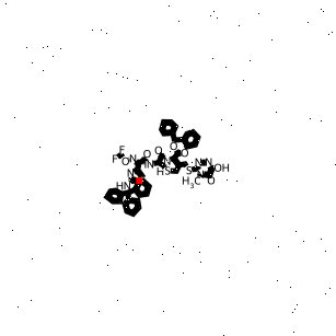 Cn1c(SCC2=C(C(=O)OC(c3ccccc3)c3ccccc3)N3C(=O)C(NC(=O)/C(=N/OC(F)F)c4csc(NC(c5ccccc5)(c5ccccc5)c5ccccc5)n4)[C@H]3SC2)nnc(O)c1=O